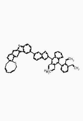 C=Cc1cccc(-c2c(C=C)c(C=C)c(-c3ccc4cc(-c5ccc6sc7cc8ccc9c(c8cc7c6c5)SC/C=C\C=C/C9)ccc4c3)c3ccccc23)c1C=C